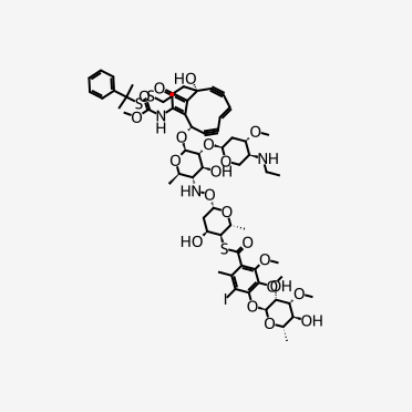 CCN[C@H]1CO[C@@H](O[C@H]2[C@H](O[C@H]3C#C/C=C/C#C[C@]4(O)CC(=O)C(NC(=O)OC)=C3/C4=C\CSSC(C)(C)c3ccccc3)O[C@H](C)[C@@H](NO[C@H]3C[C@H](O)[C@H](SC(=O)c4c(C)c(I)c(O[C@@H]5O[C@@H](C)[C@H](O)[C@@H](OC)[C@H]5O)c(OC)c4OC)[C@@H](C)O3)[C@@H]2O)C[C@@H]1OC